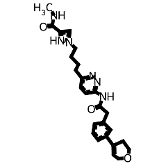 CNC(=O)c1cn(CCCCc2ccc(NC(=O)Cc3cccc(C4=CCOCC4)c3)nn2)[nH]1